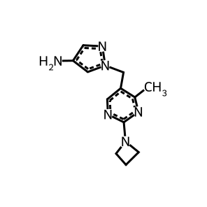 Cc1nc(N2CCC2)ncc1Cn1cc(N)cn1